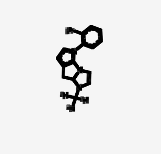 [2H]C([2H])([2H])N1C=CN2c3c(ccn3-c3ccccc3C(C)C)CC21